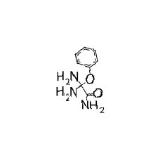 NC(=O)C(N)(N)Oc1ccccc1